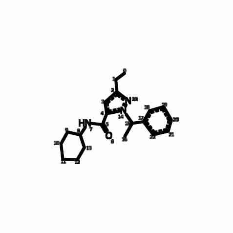 CCc1cc(C(=O)NC2CCCCC2)n(C(C)c2ccccc2)n1